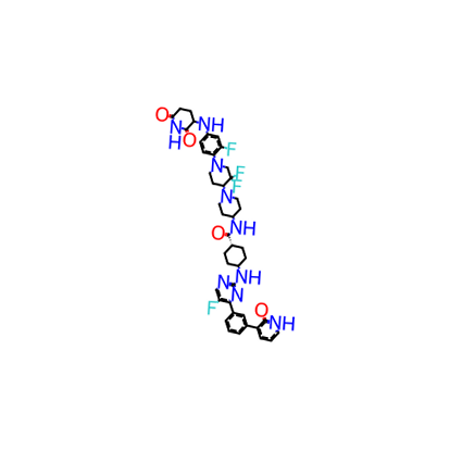 O=C1CCC(Nc2ccc(N3CCC(N4CCC(NC(=O)[C@H]5CC[C@H](Nc6ncc(F)c(-c7cccc(-c8ccc[nH]c8=O)c7)n6)CC5)CC4)C(F)(F)C3)c(F)c2)C(=O)N1